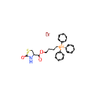 O=C1NC(C(=O)OCCCC[P+](c2ccccc2)(c2ccccc2)c2ccccc2)CS1.[Br-]